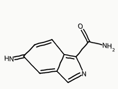 N=C1C=CC2=C(C(N)=O)N=CC2=C1